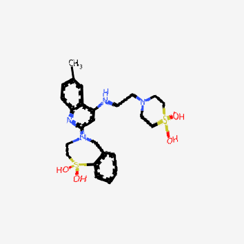 Cc1ccc2nc(N3CCS(O)(O)c4ccccc4C3)cc(NCCN3CCS(O)(O)CC3)c2c1